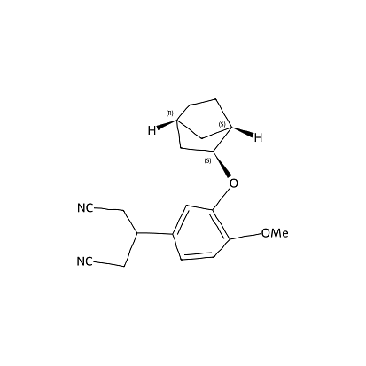 COc1ccc(C(CC#N)CC#N)cc1O[C@H]1C[C@@H]2CC[C@H]1C2